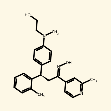 Cc1cc(C(C[C@H](c2ccc(N(C)CCO)cc2)c2ccccc2C)=NO)ccn1